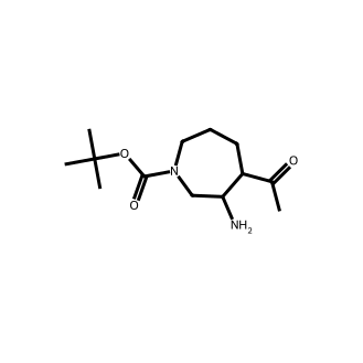 CC(=O)C1CCCN(C(=O)OC(C)(C)C)CC1N